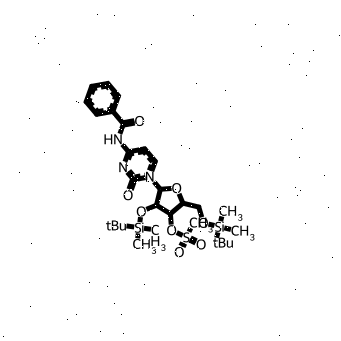 CC(C)(C)[Si](C)(C)OCC1OC(n2ccc(NC(=O)c3ccccc3)nc2=O)C(O[Si](C)(C)C(C)(C)C)C1OS(C)(=O)=O